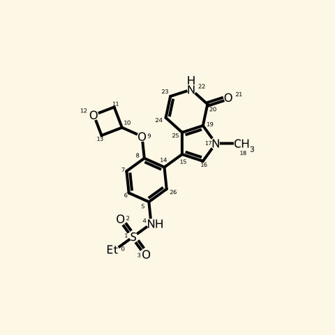 CCS(=O)(=O)Nc1ccc(OC2COC2)c(-c2cn(C)c3c(=O)[nH]ccc23)c1